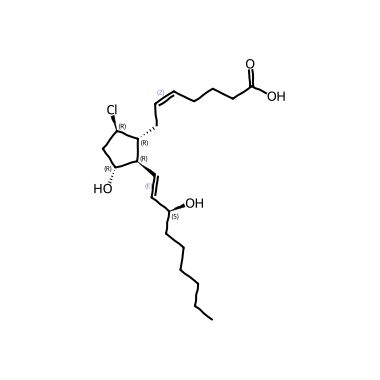 CCCCCC[C@H](O)/C=C/[C@@H]1[C@@H](C/C=C\CCCC(=O)O)[C@H](Cl)C[C@H]1O